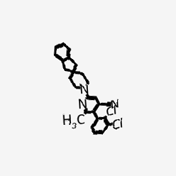 Cc1nc(N2CCC3(CC2)Cc2ccccc2C3)cc(C#N)c1-c1cccc(Cl)c1Cl